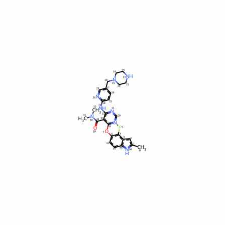 Cc1cc2c(F)c(Oc3ncnc(Nc4ccc(CN5CCNCC5)cn4)c3C(=O)N(C)C)ccc2[nH]1